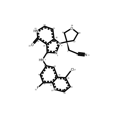 N#CC[C@]1(n2nc(Nc3cc(F)c4nccc(Cl)c4c3)c3c(=O)[nH]ccc32)CCOC1